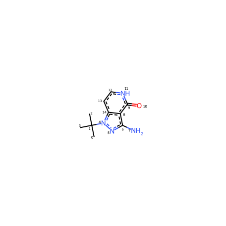 CC(C)(C)n1nc(N)c2c(=O)[nH]ccc21